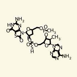 C[C@@H]1C2OP(C)(=O)OCC3C[C@@H](O[P@](=O)(S)OCC2O[C@H]1n1cnc2c(N)ncnc21)[C@H](n1c(=O)sc2c(=O)[nH]c(N)nc21)O3